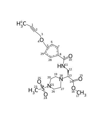 CC#CCOc1ccc(C(=O)NC[C@@H](C(=O)OC)N2CCN(S(C)(=O)=O)CC2)cc1